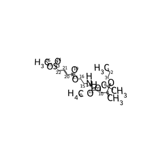 C.CCCOC(C)(C)C(C)COC(=O)NCCOC(=O)/C=C/CS(=O)OC